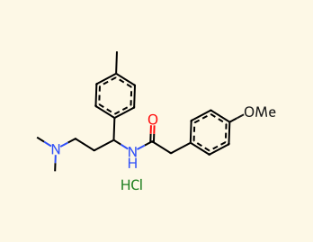 COc1ccc(CC(=O)NC(CCN(C)C)c2ccc(C)cc2)cc1.Cl